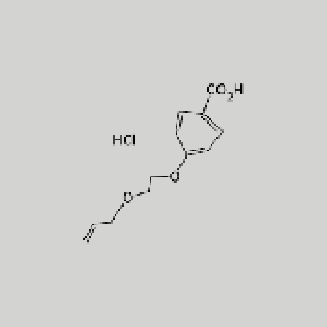 C=CCOCCOc1ccc(C(=O)O)cc1.Cl